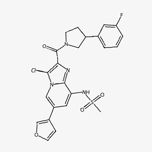 CS(=O)(=O)Nc1cc(-c2ccoc2)cn2c(Cl)c(C(=O)N3CCC(c4cccc(F)c4)C3)nc12